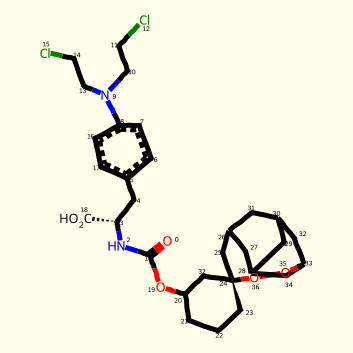 O=C(N[C@@H](Cc1ccc(N(CCCl)CCCl)cc1)C(=O)O)OC1CCC[C@]2(CC3CC4CC(C3)CC(C4)OO2)C1